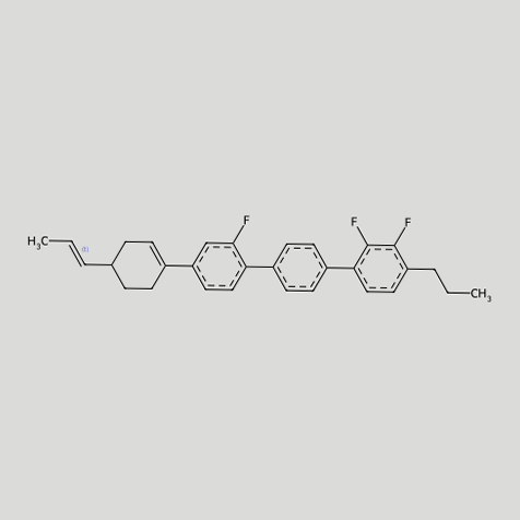 C/C=C/C1CC=C(c2ccc(-c3ccc(-c4ccc(CCC)c(F)c4F)cc3)c(F)c2)CC1